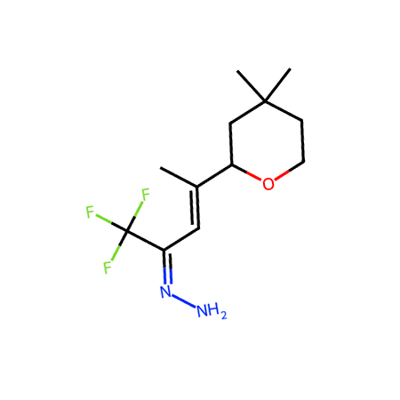 C/C(=C\C(=N/N)C(F)(F)F)C1CC(C)(C)CCO1